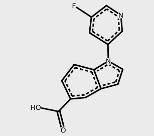 O=C(O)c1ccc2c(ccn2-c2cncc(F)c2)c1